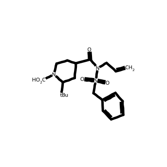 C=CCN(C(=O)C1CCN(C(=O)O)C(C(C)(C)C)C1)S(=O)(=O)Cc1ccccc1